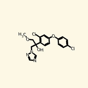 COCC(O)(Cn1cncn1)c1ccc(Oc2ccc(Cl)cc2)cc1Cl